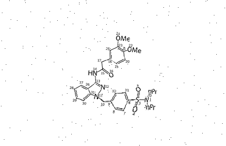 CCCN(CCC)S(=O)(=O)c1ccc(Cn2nc(NC(=O)Cc3ccc(OC)c(OC)c3)c3ccccc32)cc1